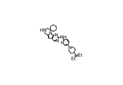 CCN(CC)C1CCN(c2ccc(Nc3ncc4cc5n(c4n3)C3(CCCCC3)CNC5)nc2)CC1